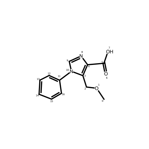 COCc1c(C(=O)O)ncn1-c1ccccc1